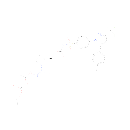 CCOC(=O)OC(C)O/N=[N+](/[O-])N1CC[C@H]1COC(=O)NS(=O)(=O)c1ccc(-n2nc(C(F)(F)F)cc2-c2ccc(C)cc2)cc1